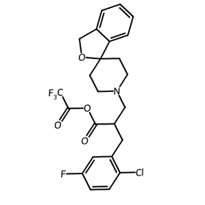 O=C(OC(=O)C(F)(F)F)C(Cc1cc(F)ccc1Cl)CN1CCC2(CC1)OCc1ccccc12